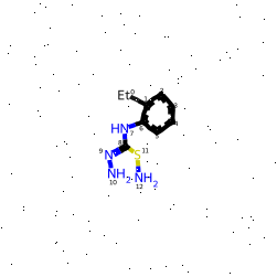 CCc1ccccc1N/C(=N/N)SN